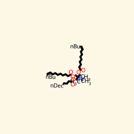 CCCC/C=C\CCCCCCCC(=O)OCC(COC(=O)CCCCCCC/C=C\CCCC)(COC(=O)CCCCCCCCCCCCC)[N+](C)(C)C